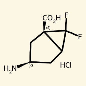 Cl.N[C@@H]1CC2C(F)(F)[C@@]2(C(=O)O)C1